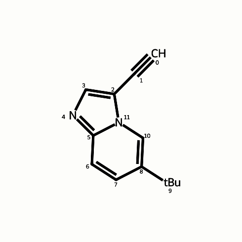 C#Cc1cnc2ccc(C(C)(C)C)cn12